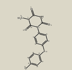 Cn1c(=O)[nH]c(=O)n(-c2ccc(Sc3ccc(Cl)cc3)cc2)c1=O